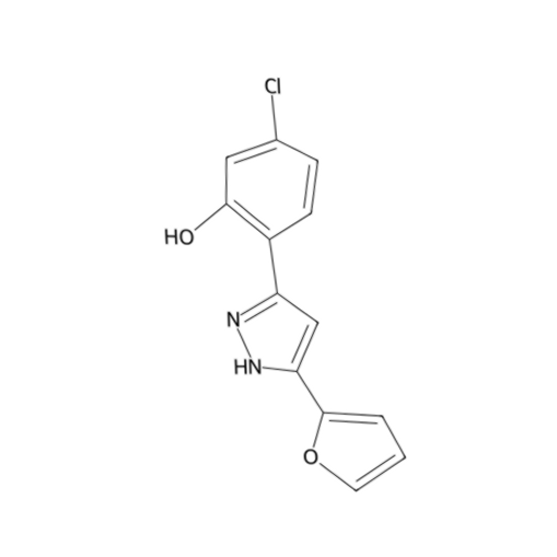 Oc1cc(Cl)ccc1-c1cc(-c2ccco2)[nH]n1